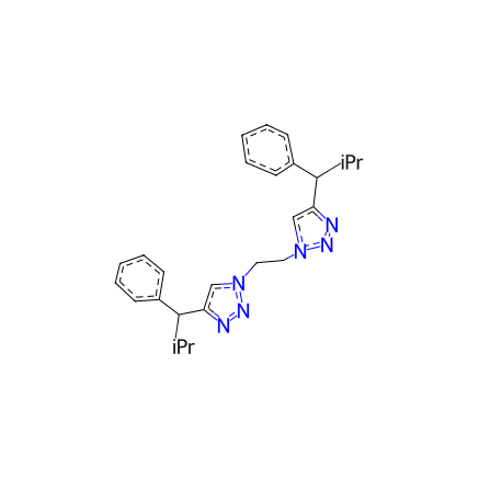 CC(C)C(c1ccccc1)c1cn(CCn2cc(C(c3ccccc3)C(C)C)nn2)nn1